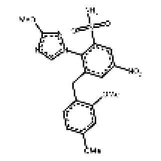 COc1ccc(Cc2cc([N+](=O)[O-])cc(S(N)(=O)=O)c2-n2cnc(OC)n2)c(OC)c1